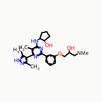 CNCC(O)COc1cccc(-c2nc(NC3CCC[C@H]3O)c(C)c(-c3c(C)n[nH]c3C)n2)c1